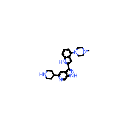 CN1CCN(c2cccc3[nH]c(-c4n[nH]c5cnc(C6CCNCC6)cc45)cc23)CC1